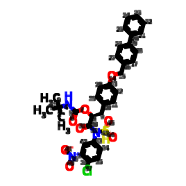 CC(C)(C)NC(=O)O[C@@H](Cc1ccc(OCc2ccc(-c3ccccc3)cc2)cc1)C(=O)N(c1ccc(Cl)c([N+](=O)[O-])c1)[SH](=O)=O